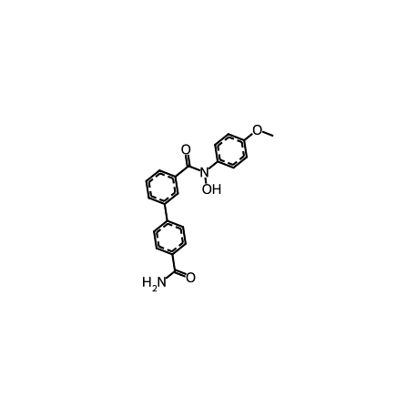 COc1ccc(N(O)C(=O)c2cccc(-c3ccc(C(N)=O)cc3)c2)cc1